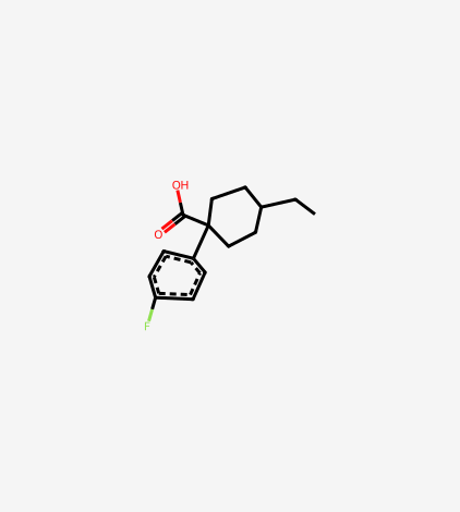 CCC1CCC(C(=O)O)(c2ccc(F)cc2)CC1